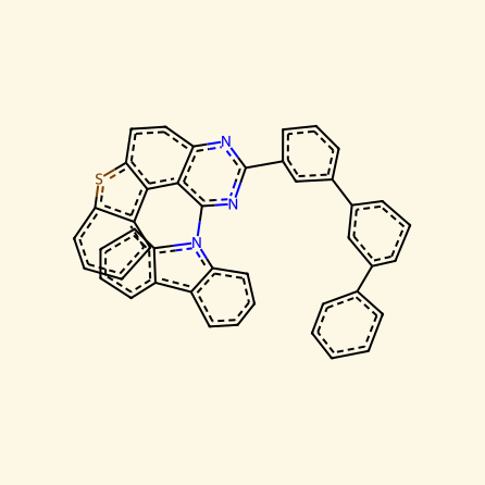 c1ccc(-c2cccc(-c3cccc(-c4nc(-n5c6ccccc6c6ccccc65)c5c(ccc6sc7ccccc7c65)n4)c3)c2)cc1